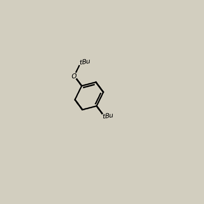 CC(C)(C)OC1=CC=C(C(C)(C)C)CC1